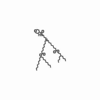 CCCCCCCCC(CCCCCCCC)OC(=O)CCCCCCCN(CCCCCCCC(=O)OCCC(CCCC)CCCC)CCCNC(=O)C1CCOCC1